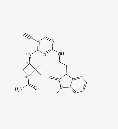 C#Cc1cnc(NCCC2C(=O)N(C)c3ccccc32)nc1N[C@@H]1C[C@H](C(N)=O)C1(C)C